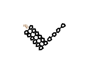 [S-2].[S-2].[S-2].[S-2].c1ccc(-c2ccccc2)cc1.c1ccc(-c2ccccc2)cc1.c1ccc(-c2ccccc2)cc1.c1ccc(-c2ccccc2)cc1.c1ccc(-c2ccccc2)cc1.c1ccc(-c2ccccc2)cc1.c1ccc(-c2ccccc2)cc1.c1ccc(-c2ccccc2)cc1